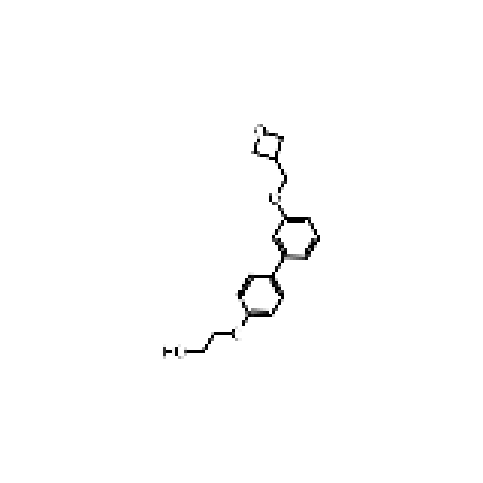 OCCOc1ccc(-c2[c]ccc(OCC3COC3)c2)cc1